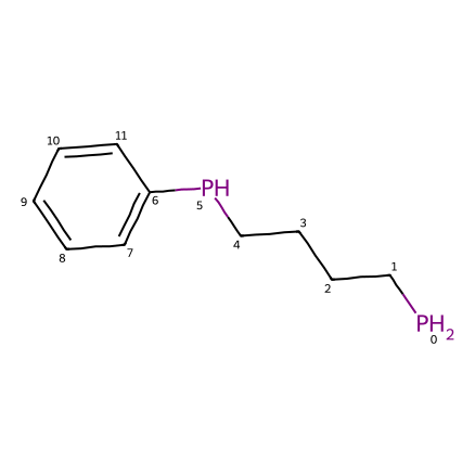 PCCCCPc1ccccc1